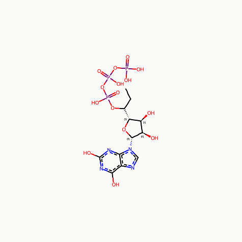 CCC(OP(=O)(O)OP(=O)(O)OP(=O)(O)O)[C@H]1O[C@@H](n2cnc3c(O)nc(O)nc32)[C@H](O)[C@@H]1O